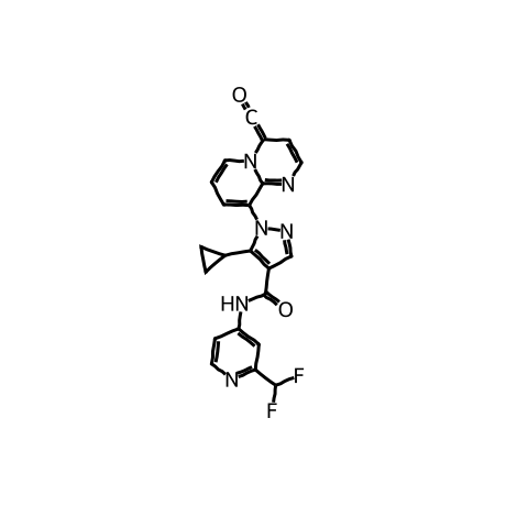 O=C=C1C=CN=C2C(n3ncc(C(=O)Nc4ccnc(C(F)F)c4)c3C3CC3)=CC=CN12